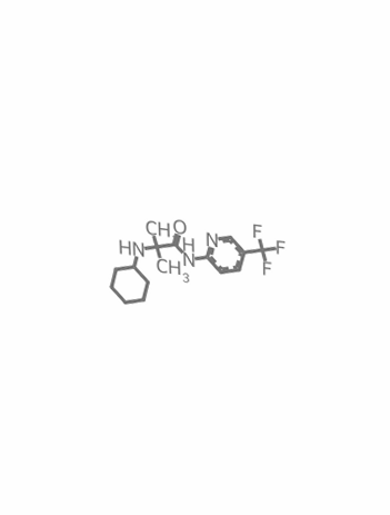 CC(C)(NC1CCCCC1)C(=O)Nc1ccc(C(F)(F)F)cn1